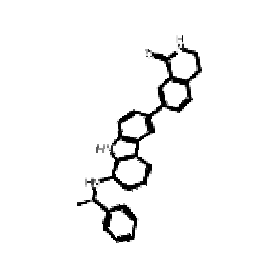 C[C@@H](NC1CCCc2c1[nH]c1ccc(-c3ccc4c(c3)C(=O)NCC4)cc21)c1ccccc1